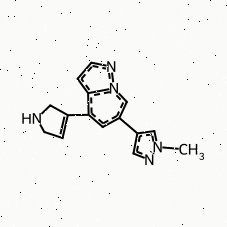 Cn1cc(-c2cc(C3=CCNC3)c3ccnn3c2)cn1